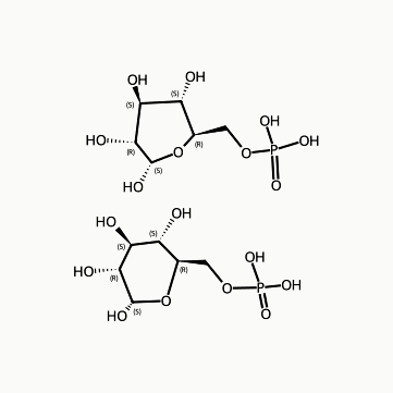 O=P(O)(O)OC[C@H]1O[C@H](O)[C@H](O)[C@@H](O)[C@@H]1O.O=P(O)(O)OC[C@H]1O[C@H](O)[C@H](O)[C@@H](O)[C@@H]1O